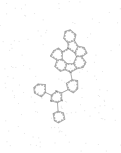 c1ccc(-c2nc(-c3ccccc3)nc(-c3cccc(-n4c5ccc6cccc7c6c5c5c6c(ccc8c9ccccc9n7c86)ccc54)c3)n2)cc1